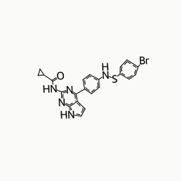 O=C(Nc1nc(-c2ccc(NSc3ccc(Br)cc3)cc2)c2cc[nH]c2n1)C1CC1